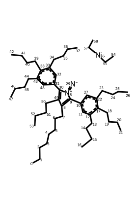 CCCCCCCCC1=C(c2cc(CCCC)c(CCCC)c(CCCC)c2)[N+](=[N-])C(c2cc(CCCC)c(CCCC)c(CCCC)c2)=C1CCCC.C[CH2][Ni][CH2]C